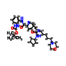 CC(C)(C)OC(=O)Nc1ccccc1NC(=O)c1ccc(CN(CCCCCN2CCOCC2)C(=O)NC2CCCC2)cn1